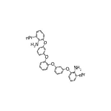 CCCc1cccc(Oc2cccc(Oc3ccccc3Oc3cccc(Oc4cccc(CCC)c4N)c3)c2)c1N